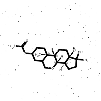 CC(=O)OC1CC[C@@]2(C)C(CO[C@@H]3[C@H]2CC[C@@]2(C)[C@H]3CCC2(C)O)C1